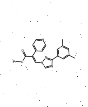 Cc1cc(C)cc(-c2ncn(C=C(C(=O)OC(C)C)c3ccncc3)n2)c1